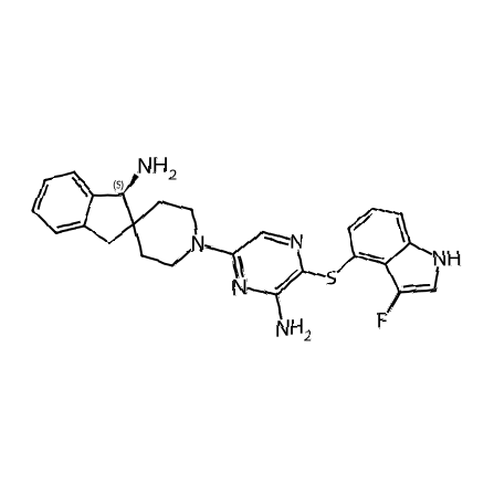 Nc1nc(N2CCC3(CC2)Cc2ccccc2[C@H]3N)cnc1Sc1cccc2[nH]cc(F)c12